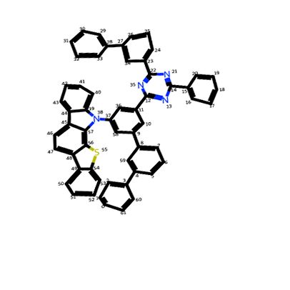 c1ccc(-c2cccc(-c3cc(-c4nc(-c5ccccc5)nc(-c5cccc(-c6ccccc6)c5)n4)cc(-n4c5ccccc5c5ccc6c7ccccc7sc6c54)c3)c2)cc1